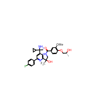 COc1cc(C(=O)NCC(O)(c2cc(C(C)(N)C3CC3)cc(-c3ccc(F)cc3)n2)C(F)(F)F)ccc1OC[C@@H](C)O